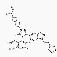 C=CC(=O)N1CC2(CC(n3nc(-c4ccc5c(cnn5CCN5CCCC5)c4)c(-c4c(Cl)c(C)cc(N)c4C=N)c3C)C2)C1